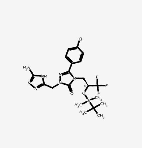 CC(C)(C)[Si](C)(C)O[C@@H](Cn1c(-c2ccc(Cl)cc2)nn(Cc2nnc(N)[nH]2)c1=O)C(F)(F)F